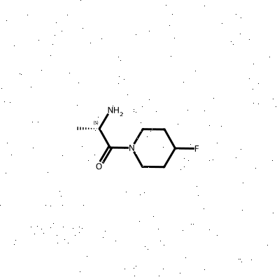 C[C@H](N)C(=O)N1CCC(F)CC1